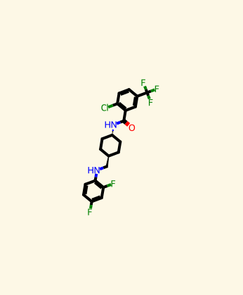 O=C(N[C@H]1CC[C@H](CNc2ccc(F)cc2F)CC1)c1cc(C(F)(F)F)ccc1Cl